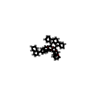 c1ccc(-c2cc(-c3ccccc3)cc(-n3c4ccccc4c4ccc5c6ccccc6n(-c6nc(-c7ccccc7)nc(-c7ccc(-c8cccc9ccccc89)cc7)n6)c5c43)c2)cc1